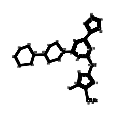 CCOC(=O)c1sc(Nc2nc(-c3cnco3)cc(N3CCC(N4CCCCC4)CC3)n2)nc1C